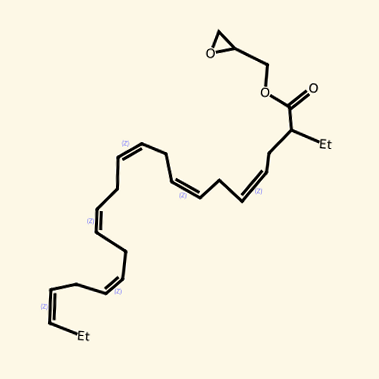 CC/C=C\C/C=C\C/C=C\C/C=C\C/C=C\C/C=C\CC(CC)C(=O)OCC1CO1